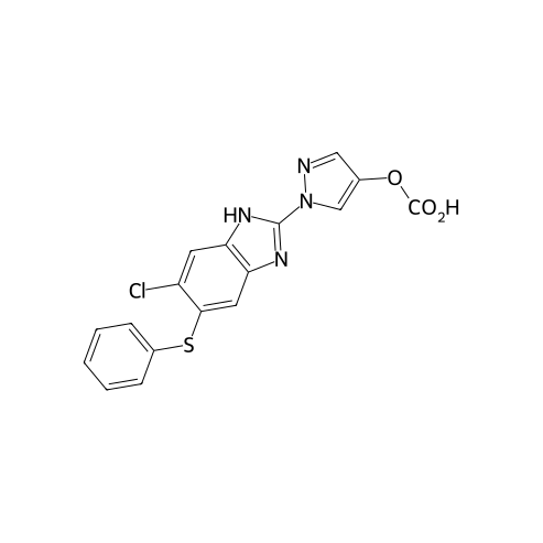 O=C(O)Oc1cnn(-c2nc3cc(Sc4ccccc4)c(Cl)cc3[nH]2)c1